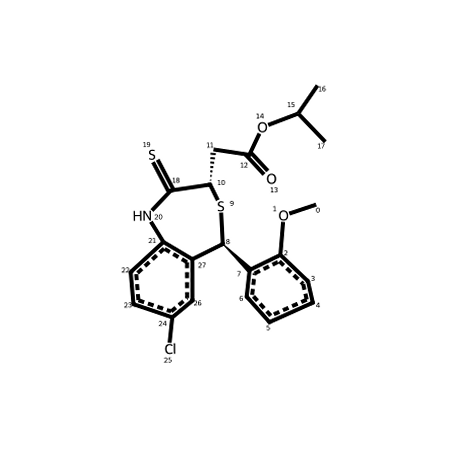 COc1ccccc1[C@@H]1S[C@@H](CC(=O)OC(C)C)C(=S)Nc2ccc(Cl)cc21